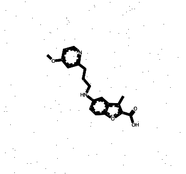 COc1ccnc(CCCNc2ccc3oc(C(=O)O)c(C)c3c2)c1